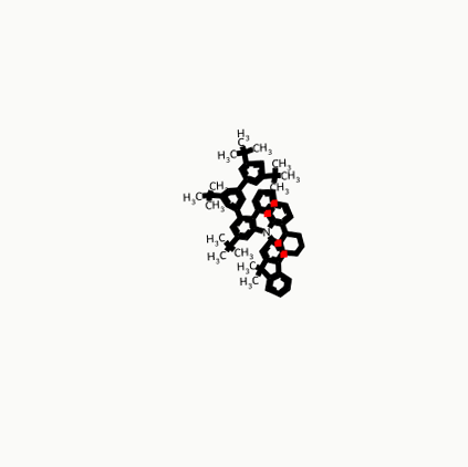 CC(C)(C)c1cc(-c2cc(C(C)(C)C)cc(C(C)(C)C)c2)cc(-c2cc(C(C)(C)C)cc(N(c3ccc4c(c3)C(C)(C)c3ccccc3-4)c3ccccc3C3CCCCC3)c2-c2ccccc2)c1